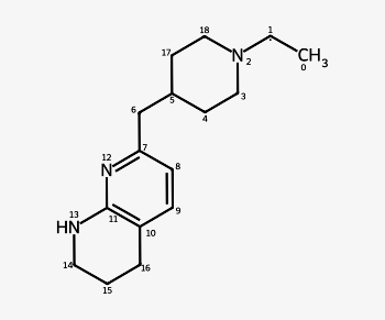 C[CH]N1CCC(Cc2ccc3c(n2)NCCC3)CC1